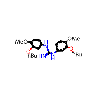 CCCCOc1cc(NC(=N)Nc2ccc(OC)c(OCCCC)c2)ccc1OC